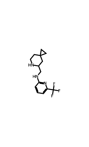 FC(F)(F)c1cccc(NCC2CC3(CCN2)CC3)n1